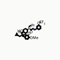 COc1ccc2c3c1OC1C(N(CC(C)C)C(=O)/C=C/c4cccc(OC(F)(F)F)c4)CC[C@@]4(O)[C@@H](C2)N(CC2CC2)CC[C@]314